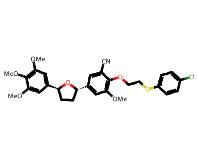 COc1cc([C@@H]2CC[C@@H](c3cc(OC)c(OC)c(OC)c3)O2)cc(C#N)c1OCCSc1ccc(Cl)cc1